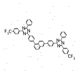 FC(F)(F)c1ccc(-c2nc(-c3ccccc3)nc(-c3ccc(-c4ccc5c(-c6ccc(-c7nc(-c8ccccc8)nc(-c8ccc(C(F)(F)F)cc8)n7)cc6)cccc5c4)cc3)n2)cc1